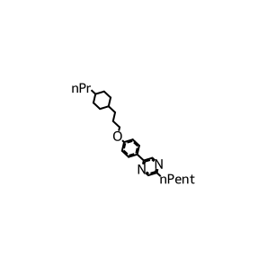 CCCCCc1cnc(-c2ccc(OCCCC3CCC(CCC)CC3)cc2)cn1